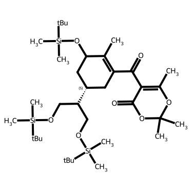 CC1=C(C(=O)C2=C(C)C(O[Si](C)(C)C(C)(C)C)C[C@@H](C(CO[Si](C)(C)C(C)(C)C)CO[Si](C)(C)C(C)(C)C)C2)C(=O)OC(C)(C)O1